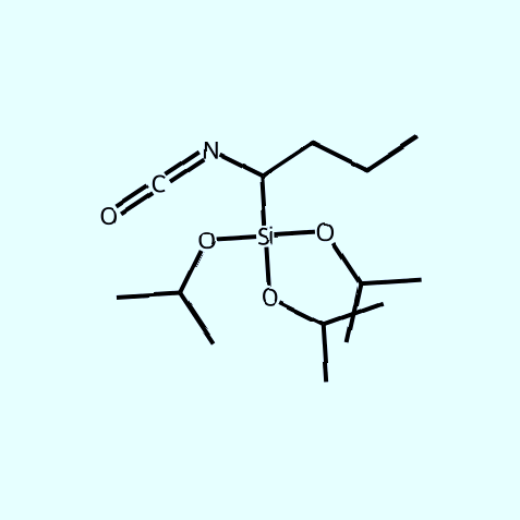 CCCC(N=C=O)[Si](OC(C)C)(OC(C)C)OC(C)C